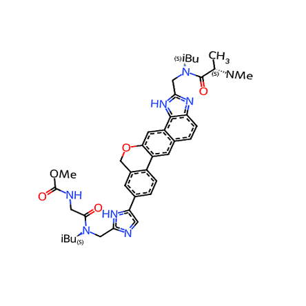 CC[C@H](C)N(Cc1ncc(-c2ccc3c(c2)COc2cc4c(ccc5nc(CN(C(=O)[C@H](C)NC)[C@@H](C)CC)[nH]c54)cc2-3)[nH]1)C(=O)CNC(=O)OC